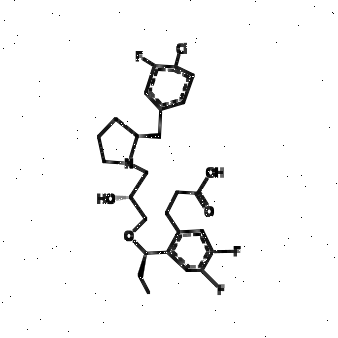 CC[C@@H](OC[C@H](O)CN1CCC[C@H]1Cc1ccc(Cl)c(F)c1)c1cc(F)c(F)cc1CCC(=O)O